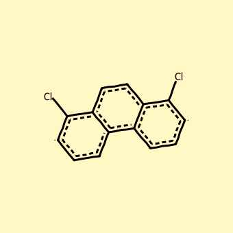 Clc1[c]ccc2c1ccc1c(Cl)[c]ccc12